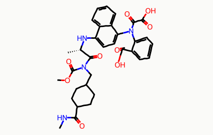 CNC(=O)C1CCC(CN(C(=O)OC)C(=O)[C@H](C)Nc2ccc(N(C(=O)C(=O)O)c3ccccc3C(=O)O)c3ccccc23)CC1